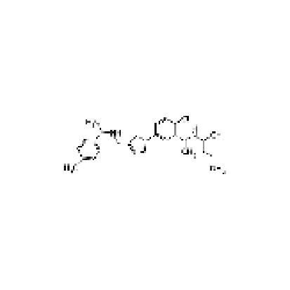 C=C(NC(C)CCN)c1cc(C2=CC=C(CNC(C)c3ccc(C)cc3)C2)ccc1Cl